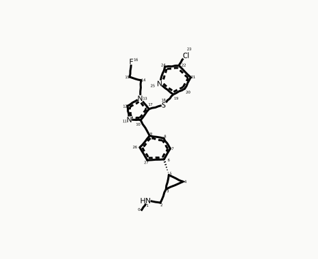 CNCC1C[C@H]1c1ccc(-c2ncn(CCF)c2Sc2ccc(Cl)cn2)cc1